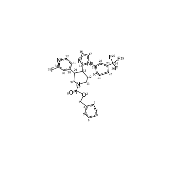 O=C(OCc1ccccc1)N1CCC(c2nccn2-c2cccc(C(F)(F)F)c2)C(c2ccnc(F)c2)C1